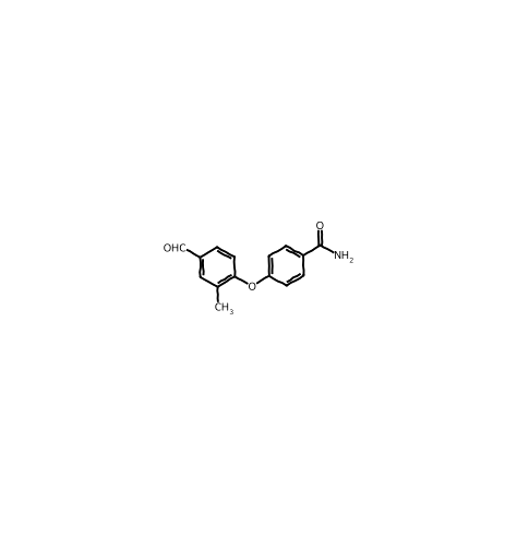 Cc1cc(C=O)ccc1Oc1ccc(C(N)=O)cc1